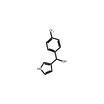 OC(c1ccc(C(F)(F)F)cc1)c1cc[nH]c1